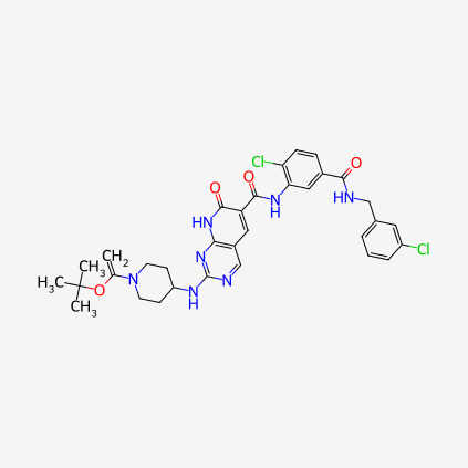 C=C(OC(C)(C)C)N1CCC(Nc2ncc3cc(C(=O)Nc4cc(C(=O)NCc5cccc(Cl)c5)ccc4Cl)c(=O)[nH]c3n2)CC1